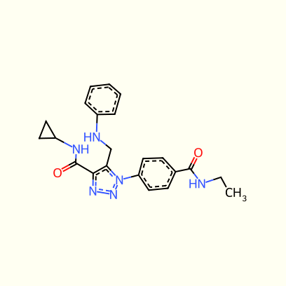 CCNC(=O)c1ccc(-n2nnc(C(=O)NC3CC3)c2CNc2ccccc2)cc1